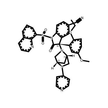 CCOc1ccc(OC)cc1[C@@]1(N2C[C@@H]3C[C@H]2CN3c2ccncc2)C(=O)N(S(=O)(=O)c2cccc3cccnc23)c2ccc(C#N)cc21